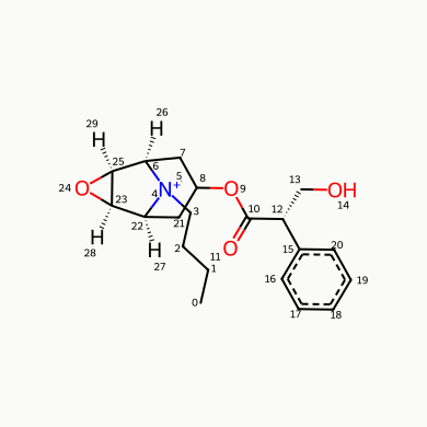 CCCC[N+]1(C)[C@@H]2CC(OC(=O)[C@H](CO)c3ccccc3)C[C@H]1[C@H]1O[C@H]12